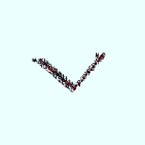 ClCCl.ClCCl.ClCCl.ClCCl.ClCCl.ClCCl.ClCCl.ClCCl.ClCCl.ClCCl.ClCCl.ClCCl.ClCCl.ClCCl.ClCCl.ClCCl.ClCCl.ClCCl.ClCCl.ClCCl.ClCCl.ClCCl.ClCCl.ClCCl.ClCCl.ClCCl.ClCCl.ClCCl.ClCCl.ClCCl.ClCCl.ClCCl.ClCCl.ClCCl.ClCCl.ClCCl.O.O.O.O.O.O